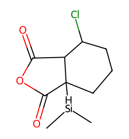 C[SiH](C)C12CCCC(Cl)C1C(=O)OC2=O